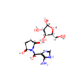 Nc1[nH]cnc1C(=O)N1C(=O)CCC1=O.OC[C@H]1OC(O)[C@H](O)[C@@H]1O